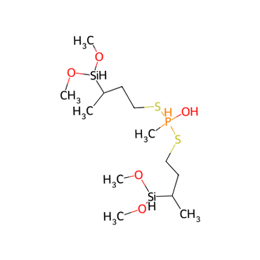 CO[SiH](OC)C(C)CCS[PH](C)(O)SCCC(C)[SiH](OC)OC